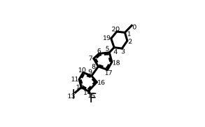 CC1CCC(c2ccc(-c3ccc(I)c(F)c3)cc2)CC1